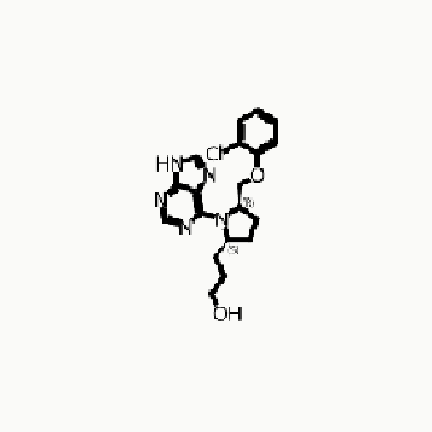 OCCC[C@@H]1CC[C@H](COc2ccccc2Cl)N1c1ncnc2[nH]cnc12